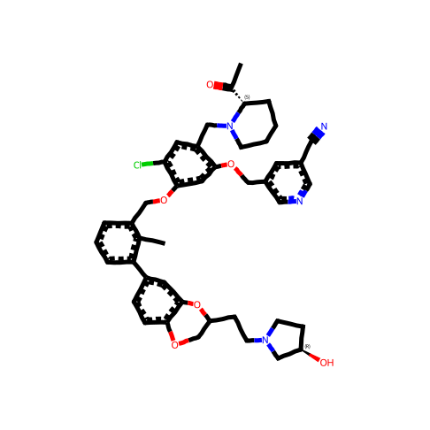 CC(=O)[C@@H]1CCCCN1Cc1cc(Cl)c(OCc2cccc(-c3ccc4c(c3)OC(CCN3CC[C@@H](O)C3)CO4)c2C)cc1OCc1cncc(C#N)c1